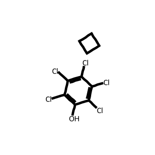 C1CCC1.Oc1c(Cl)c(Cl)c(Cl)c(Cl)c1Cl